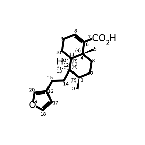 C[C@@H]1CC[C@@]2(C)C(C(=O)O)=CCC[C@@H]2[C@]1(C)CCc1ccoc1